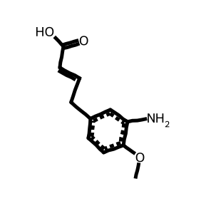 COc1ccc(C/C=C/C(=O)O)cc1N